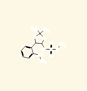 CNc1ccccc1C1OC(C)(C)OC1NS(=O)(=O)OC